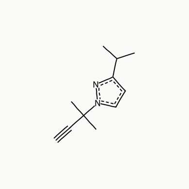 C#CC(C)(C)n1ccc(C(C)C)n1